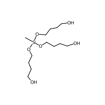 C[Si](OCCCCO)(OCCCCO)OCCCCO